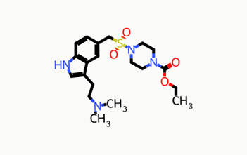 CCOC(=O)N1CCN(S(=O)(=O)Cc2ccc3[nH]cc(CCN(C)C)c3c2)CC1